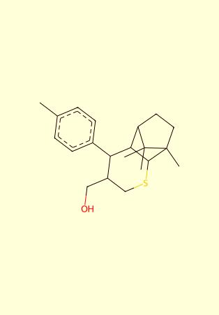 Cc1ccc(C2C(CO)CSC3C2C2CCC3(C)C2(C)C)cc1